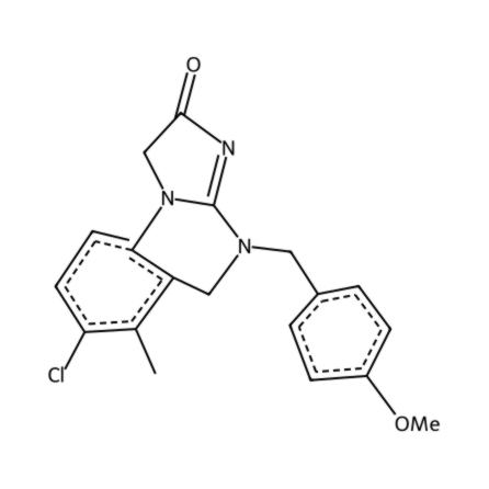 COc1ccc(CN2Cc3c(ccc(Cl)c3C)N3CC(=O)N=C23)cc1